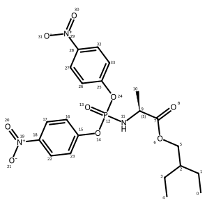 CCC(CC)COC(=O)[C@H](C)NP(=O)(Oc1ccc([N+](=O)[O-])cc1)Oc1ccc([N+](=O)[O-])cc1